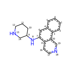 c1ccc2c(c1)cc(NC1CCCNC1)c1ccncc12